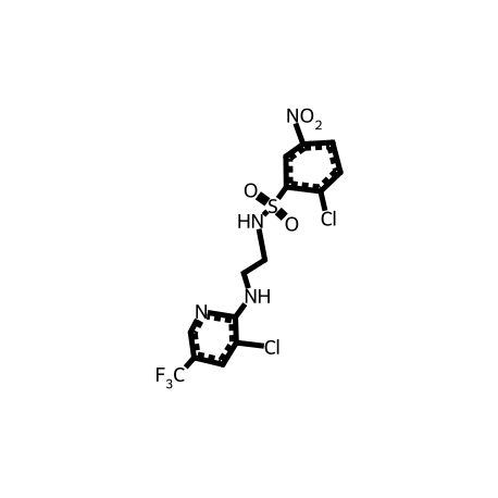 O=[N+]([O-])c1ccc(Cl)c(S(=O)(=O)NCCNc2ncc(C(F)(F)F)cc2Cl)c1